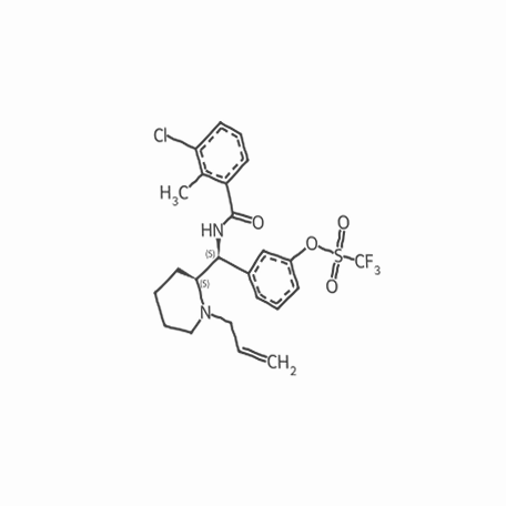 C=CCN1CCCC[C@H]1[C@@H](NC(=O)c1cccc(Cl)c1C)c1cccc(OS(=O)(=O)C(F)(F)F)c1